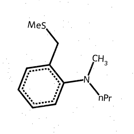 CCCN(C)c1ccccc1CSC